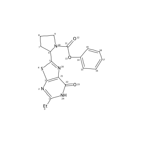 CCc1nc2sc(C3CCCN3C(=O)Oc3ccccc3)nc2c(=O)[nH]1